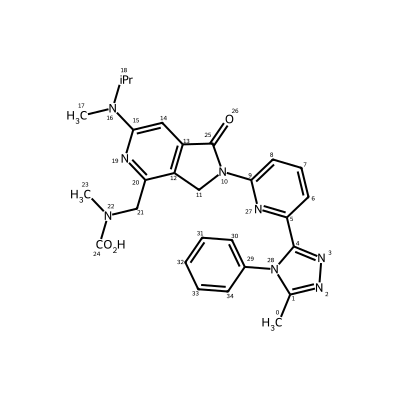 Cc1nnc(-c2cccc(N3Cc4c(cc(N(C)C(C)C)nc4CN(C)C(=O)O)C3=O)n2)n1-c1ccccc1